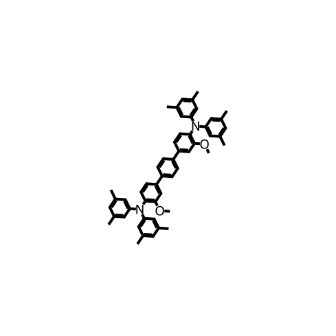 COc1cc(-c2ccc(-c3ccc(N(c4cc(C)cc(C)c4)c4cc(C)cc(C)c4)c(OC)c3)cc2)ccc1N(c1cc(C)cc(C)c1)c1cc(C)cc(C)c1